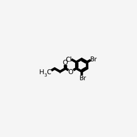 CC[CH]C(=O)Oc1c(Cl)cc(Br)cc1Br